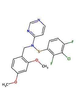 COc1ccc(CN(Sc2ccc(F)c(Cl)c2F)c2ccncn2)c(OC)c1